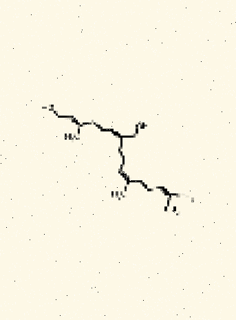 CC(C)=CCC/C(C)=C\CC/C(=C\CC/C(C)=C/CO)CO